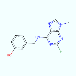 Cn1cnc2c(NCc3cccc(O)c3)nc(Cl)nc21